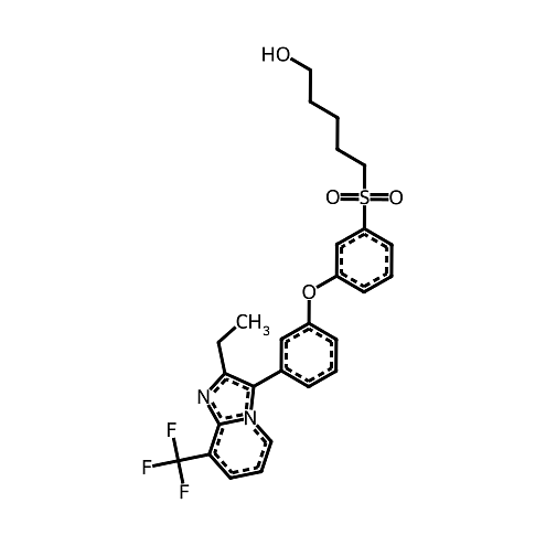 CCc1nc2c(C(F)(F)F)cccn2c1-c1cccc(Oc2cccc(S(=O)(=O)CCCCCO)c2)c1